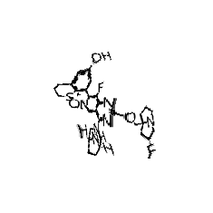 [O-][S+]1CCCc2cc(O)cc(-c3ncc4c(N5C[C@H]6CC[C@@H](C5)N6)nc(OC[C@@]56CCCN5C[C@H](F)C6)nc4c3F)c21